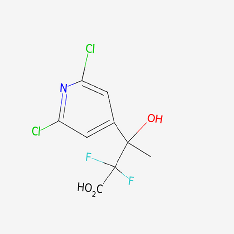 CC(O)(c1cc(Cl)nc(Cl)c1)C(F)(F)C(=O)O